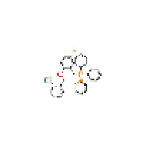 Fc1ccc(OCc2ccccc2Cl)c(C[PH](c2ccccc2)(c2ccccc2)c2ccccc2)c1